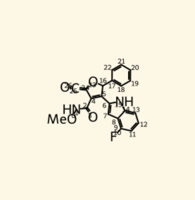 CONC(=O)C1=C(c2cc3c(F)cccc3[nH]2)C(c2ccccc2)OC1=C=O